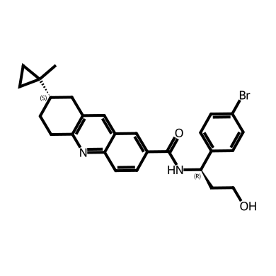 CC1([C@H]2CCc3nc4ccc(C(=O)N[C@H](CCO)c5ccc(Br)cc5)cc4cc3C2)CC1